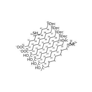 CCCCCCCCCCCCCCCCCC(=O)O.CCCCCCCCCCCCCCCCCC(=O)O.CCCCCCCCCCCCCCCCCC(=O)O.CCCCCCCCCCCCCCCCCC(=O)O.CCCCCCCCCCCCCCCCCC(=O)[O-].CCCCCCCCCCCCCCCCCC(=O)[O-].[Ca+2].[SiH4]